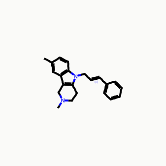 Cc1ccc2c(c1)c1c(n2C/C=C/c2ccccc2)CCN(C)C1